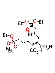 CCO[Si](CCCC(C(=O)O)=C(CCC[Si](OCC)(OCC)OCC)C(=O)O)(OCC)OCC